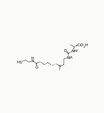 C[C@H](NC(=O)NCCN(C)CCCCCC(=O)NCCS)C(=O)O